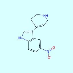 O=[N+]([O-])c1ccc2[nH]cc(C3=CCNCC3)c2c1